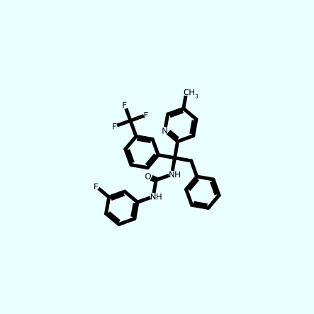 Cc1ccc(C(Cc2ccccc2)(NC(=O)Nc2cccc(F)c2)c2cccc(C(F)(F)F)c2)nc1